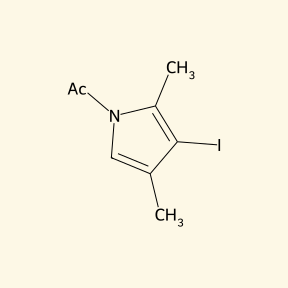 CC(=O)n1cc(C)c(I)c1C